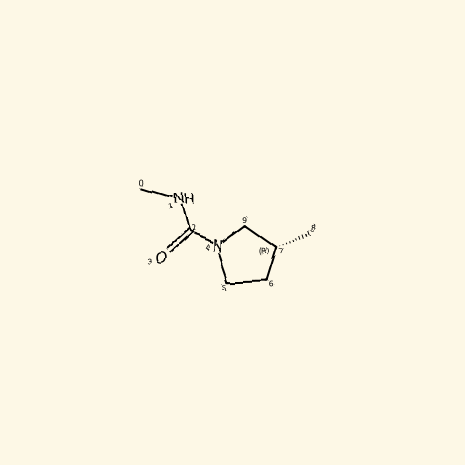 CNC(=O)N1CC[C@@H](C)C1